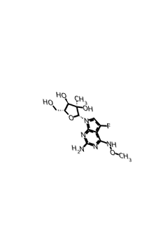 CONc1nc(N)nc2c1c(F)cn2[C@@H]1O[C@H](CO)[C@@H](O)[C@@]1(C)O